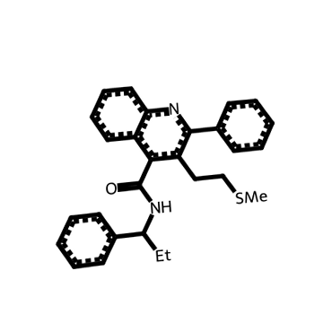 CCC(NC(=O)c1c(CCSC)c(-c2ccccc2)nc2ccccc12)c1ccccc1